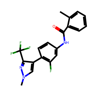 Cc1ccccc1C(=O)Nc1ccc(-c2cn(C)nc2C(F)(F)F)c(F)c1